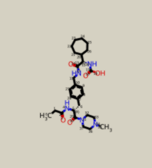 CCC(=O)N[C@H](Cc1ccc(CNC(=O)[C@@H](NC(=O)O)C2CCCCCC2)cc1)C(=O)N1CCN(C)CC1